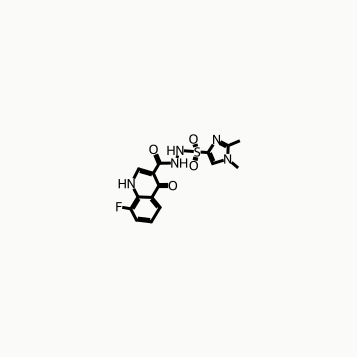 Cc1nc(S(=O)(=O)NNC(=O)c2c[nH]c3c(F)cccc3c2=O)cn1C